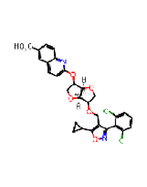 O=C(O)c1ccc2nc(OC3CO[C@@H]4C(OCc5c(-c6c(Cl)cccc6Cl)noc5C5CC5)CO[C@H]34)ccc2c1